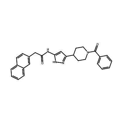 O=C(Cc1ccc2ccccc2c1)Nc1cc(C2CCN(C(=O)c3ccccc3)CC2)n[nH]1